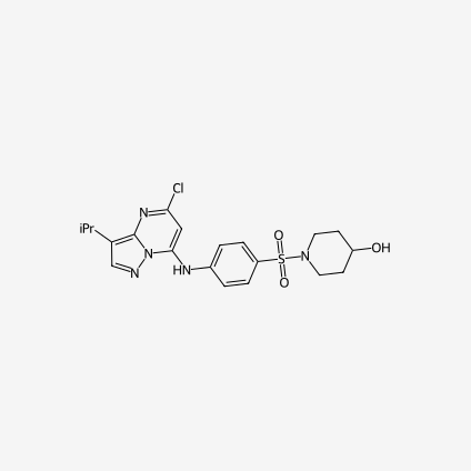 CC(C)c1cnn2c(Nc3ccc(S(=O)(=O)N4CCC(O)CC4)cc3)cc(Cl)nc12